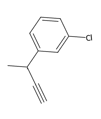 C#C[C](C)c1cccc(Cl)c1